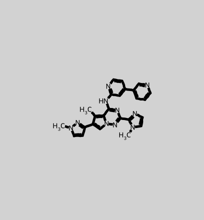 Cc1c(-c2ccn(C)n2)cn2nc(-c3nccn3C)nc(Nc3cc(-c4cccnc4)ccn3)c12